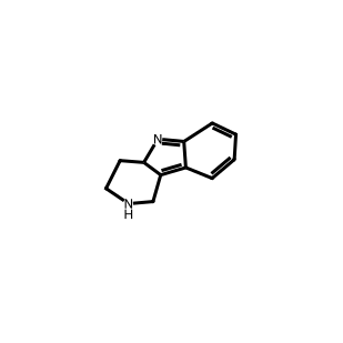 c1ccc2c(c1)=NC1CCNCC=21